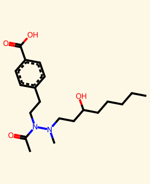 CCCCCC(O)CCN(C)N(CCc1ccc(C(=O)O)cc1)C(C)=O